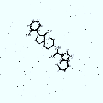 O=C(N[C@H]1CC[C@@]2(CCN(c3ccccc3Cl)C2=O)CC1)c1n[nH]c2cccnc12